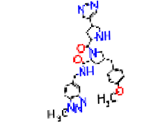 COc1ccc(CC2CC(C(=O)NCc3ccc4c(c3)nnn4C)N(C(=O)C3CC(c4cncnc4)CN3)C2)cc1